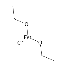 CC[O][Fe+][O]CC.[Cl-]